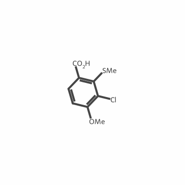 COc1ccc(C(=O)O)c(SC)c1Cl